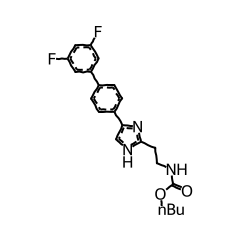 CCCCOC(=O)NCCc1nc(-c2ccc(-c3cc(F)cc(F)c3)cc2)c[nH]1